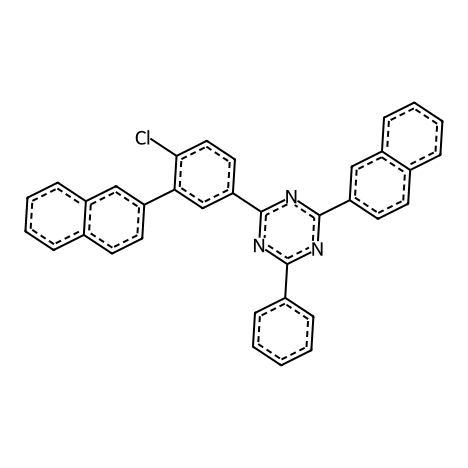 Clc1ccc(-c2nc(-c3ccccc3)nc(-c3ccc4ccccc4c3)n2)cc1-c1ccc2ccccc2c1